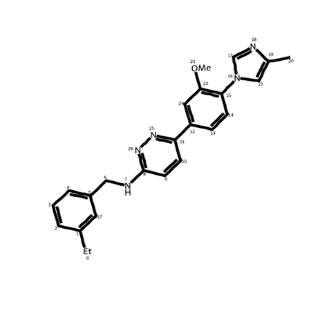 CCc1cccc(CNc2ccc(-c3ccc(-n4cnc(C)c4)c(OC)c3)nn2)c1